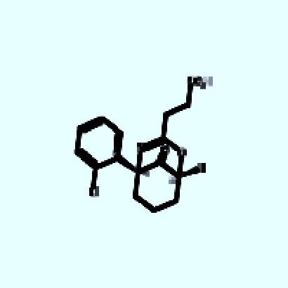 O=C(O)CCC1=N[C@@]2(c3ccccc3Cl)CCC[C@@H](O1)C2=O